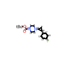 CC(C)(C)OC(=O)N1CCN([C@@H]2C[C@H]2c2ccc(F)cc2)CC1